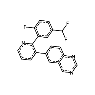 Fc1ccc(C(F)F)cc1-c1ncccc1-c1ccc2ncncc2c1